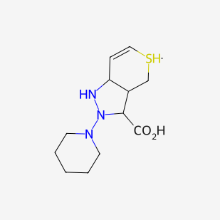 O=C(O)C1C2C[SH]C=CC2NN1N1CCCCC1